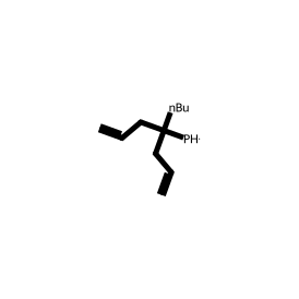 C=CCC([PH])(CC=C)CCCC